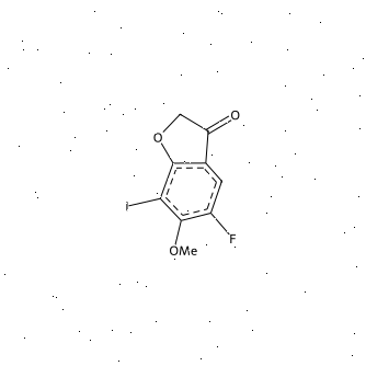 COc1c(F)cc2c(c1I)OCC2=O